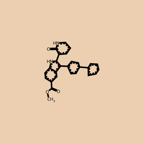 COC(=O)c1ccc2[nH]c(-c3ccc[nH]c3=O)c(-c3ccc(-c4ccccc4)cc3)c2c1